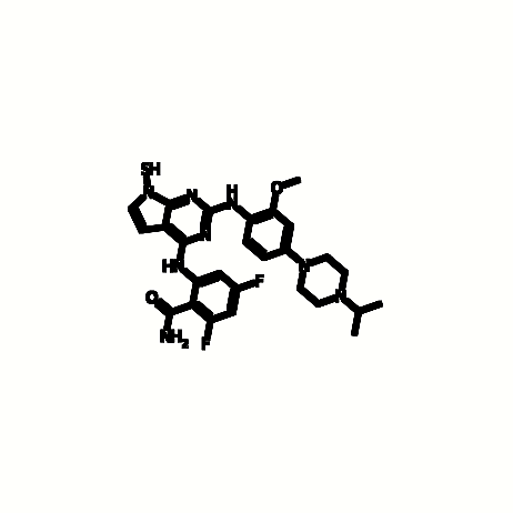 COc1cc(N2CCN(C(C)C)CC2)ccc1Nc1nc(Nc2cc(F)cc(F)c2C(N)=O)c2ccn(S)c2n1